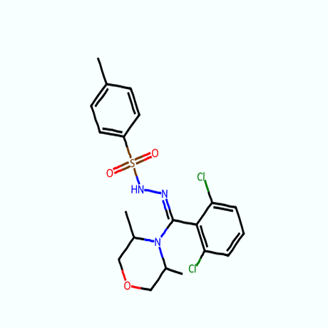 Cc1ccc(S(=O)(=O)N/N=C(/c2c(Cl)cccc2Cl)N2C(C)COCC2C)cc1